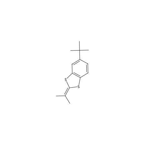 CC(C)=C1Sc2ccc(C(C)(C)C)cc2S1